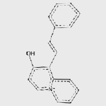 Oc1cc[n+]2ccccc2c1C=Cc1ccccc1